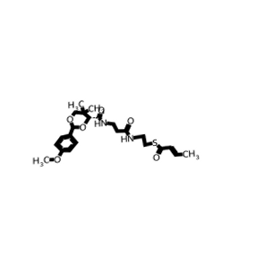 CC=CC(=O)SCCNC(=O)CCNC(=O)[C@@H]1OC(c2ccc(OC)cc2)OCC1(C)C